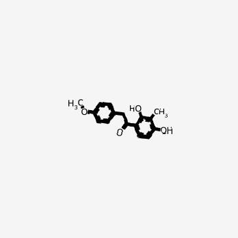 COc1ccc(CC(=O)c2ccc(O)c(C)c2O)cc1